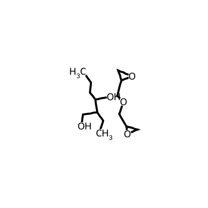 C(OCC1CO1)C1CO1.CCCC(O)C(CC)CO